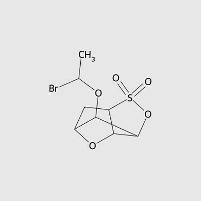 CC(Br)OC1C2CC3C(O2)C1OS3(=O)=O